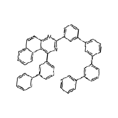 c1ccc(-c2cccc(-c3cccc(-c4cccc(-c5nc(-c6cccc(-c7ccccc7)c6)c6c(ccc7ccccc76)n5)c4)c3)c2)cc1